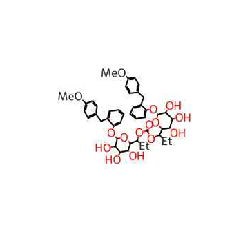 CCC(OC(=O)OC(CC)C1OC(Oc2ccccc2Cc2ccc(OC)cc2)C(O)C(O)C1O)C1OC(Oc2ccccc2Cc2ccc(OC)cc2)C(O)C(O)C1O